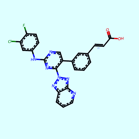 O=C(O)/C=C/c1cccc(-c2cnc(Nc3ccc(F)c(Cl)c3)nc2-n2nc3cccnc3n2)c1